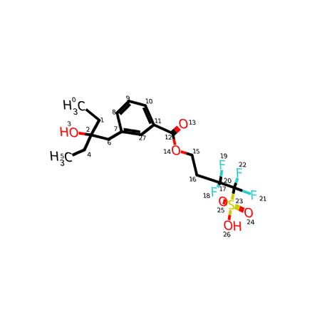 CCC(O)(CC)Cc1cccc(C(=O)OCCC(F)(F)C(F)(F)S(=O)(=O)O)c1